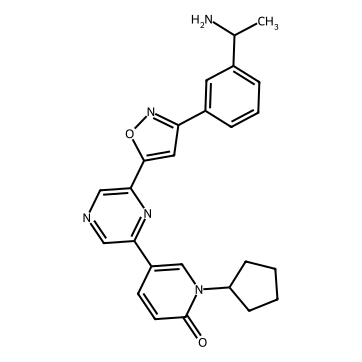 CC(N)c1cccc(-c2cc(-c3cncc(-c4ccc(=O)n(C5CCCC5)c4)n3)on2)c1